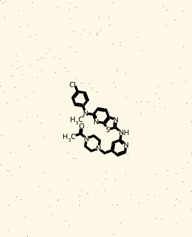 CC(=O)N1CCN(Cc2ccnc(Nc3nc4ccc(N(C)c5ccc(Cl)cc5)nc4s3)c2)CC1